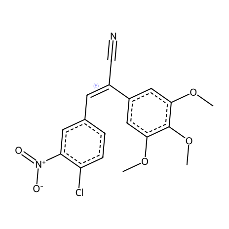 COc1cc(/C(C#N)=C\c2ccc(Cl)c([N+](=O)[O-])c2)cc(OC)c1OC